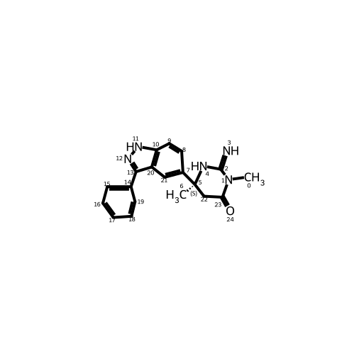 CN1C(=N)N[C@](C)(c2ccc3[nH]nc(-c4ccccc4)c3c2)CC1=O